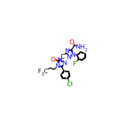 NC(=O)c1nc(Cn2nc(-c3ccc(Cl)cc3)n(CCC(F)(F)F)c2=O)nn1-c1ccccc1F